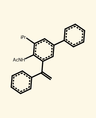 C=C(c1ccccc1)c1cc(-c2ccccc2)cc(C(C)C)c1NC(C)=O